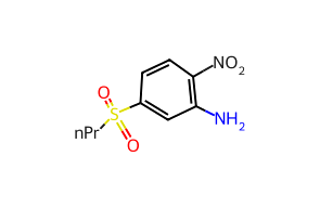 CCCS(=O)(=O)c1ccc([N+](=O)[O-])c(N)c1